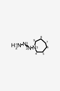 NN=NN1CCCCCC1